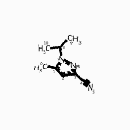 Cc1cc(C#N)nn1C(C)C